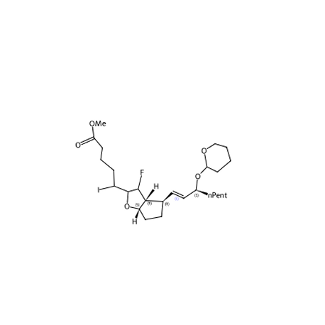 CCCCC[C@@H](/C=C/[C@H]1CC[C@@H]2OC(C(I)CCCC(=O)OC)C(F)[C@@H]21)OC1CCCCO1